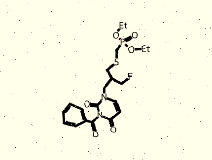 CCOP(=O)(CSCC(CF)Cn1ccc(=O)n(C(=O)c2ccccc2)c1=O)OCC